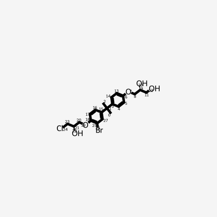 CC(C)(c1ccc(OC[C@H](O)CO)cc1)c1ccc(OC[C@@H](O)CCl)c(Br)c1